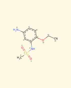 CS(=O)(=O)Nc1cc(N)ccc1OCC#N